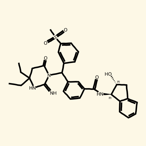 CCC1(CC)CC(=O)N(C(c2cccc(C(=O)N[C@@H]3c4ccccc4C[C@H]3O)c2)c2cccc(S(C)(=O)=O)c2)C(=N)N1